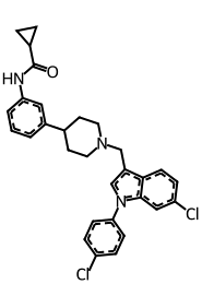 O=C(Nc1cccc(C2CCN(Cc3cn(-c4ccc(Cl)cc4)c4cc(Cl)ccc34)CC2)c1)C1CC1